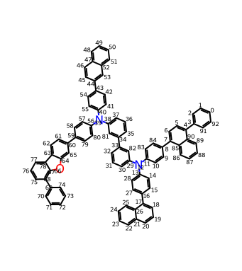 c1ccc(-c2ccc(-c3ccc(N(c4ccc(-c5cccc6ccccc56)cc4)c4cccc(-c5cccc(N(c6ccc(-c7ccc8ccccc8c7)cc6)c6ccc(-c7ccc8c(c7)oc7c(-c9ccccc9)cccc78)cc6)c5)c4)cc3)c3ccccc23)cc1